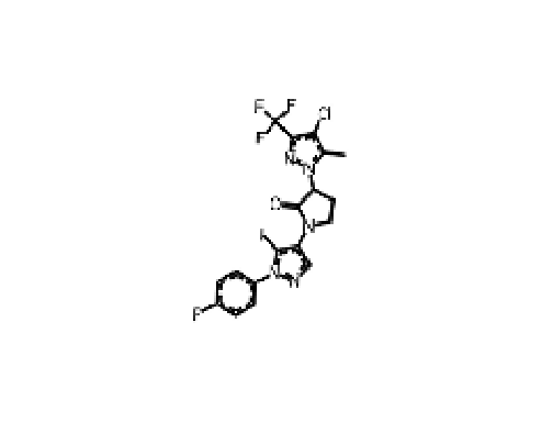 Cc1c(Cl)c(C(F)(F)F)nn1C1CCN(c2cnn(-c3ccc(F)cc3)c2I)C1=O